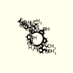 CCn1c(-c2cnccc2COC)c2c3cc(ccc31)-c1cc(O)cc(c1)C[C@H](NC(=O)[C@H](C(C)C)N(C)C(=O)[C@H]1CCN(S(=O)(=O)N3CC3)C1)C(=O)N1CCC[C@H](N1)C(=O)OCC(C)(C)C2